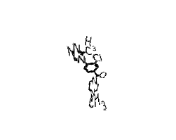 Cc1nncn1-c1ccc(C(=O)N2CCN(C)CC2)cc1Cl